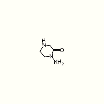 NN1CCNCC1=O